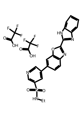 CCNS(=O)(=O)c1cncc(-c2ccc3nc(-c4nc5ccccc5[nH]4)oc3c2)c1.O=C(O)C(F)(F)F.O=C(O)C(F)(F)F